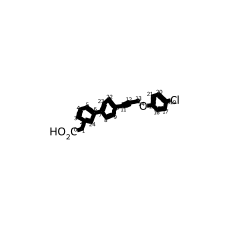 O=C(O)Cc1cccc(-c2ccc(C#CCOc3ccc(Cl)cc3)cc2)c1